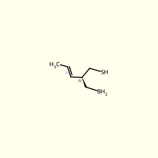 BC[C@@H](/C=C/C)CS